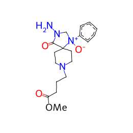 COC(=O)CCCN1CCC2(CC1)C(=O)N(N)C[N+]2([O-])c1ccccc1